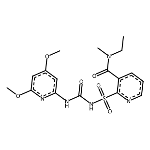 CCN(C)C(=O)c1cccnc1S(=O)(=O)NC(=O)Nc1cc(OC)cc(OC)n1